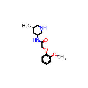 COc1ccccc1OCC(=O)NC1CNC[C@@H](C)C1